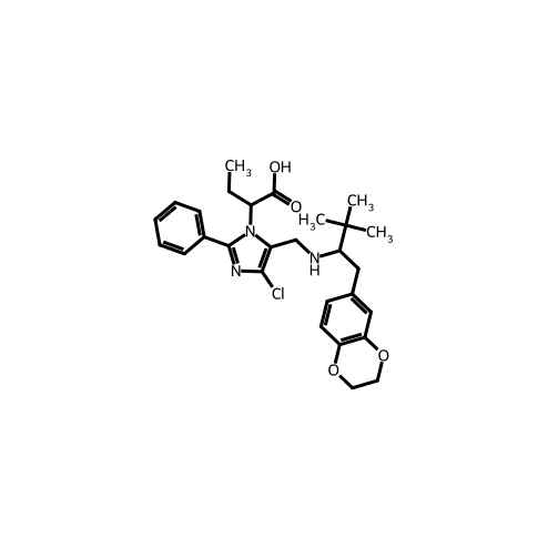 CCC(C(=O)O)n1c(-c2ccccc2)nc(Cl)c1CNC(Cc1ccc2c(c1)OCCO2)C(C)(C)C